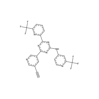 C#Cc1cncc(-c2nc(Nc3ccnc(C(F)(F)F)c3)nc(-c3cccc(C(F)(F)F)n3)n2)c1